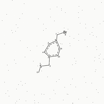 CSCc1ccc(CBr)cc1